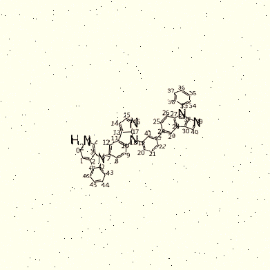 C/C=c1\c(=C/N)n(-c2ccc3c(c2)C2=CC=NC2N3c2cccc(-c3ccc4c(c3)c3c(n4-c4ccccc4)N=C3)c2)c2ccccc12